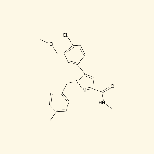 CNC(=O)c1cc(-c2ccc(Cl)c(COC)c2)n(Cc2ccc(C)cc2)n1